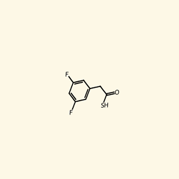 O=C(S)Cc1cc(F)cc(F)c1